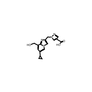 O=C(O)c1cnn(Cc2cn3cc(C4CC4)cc(CO)c3n2)c1